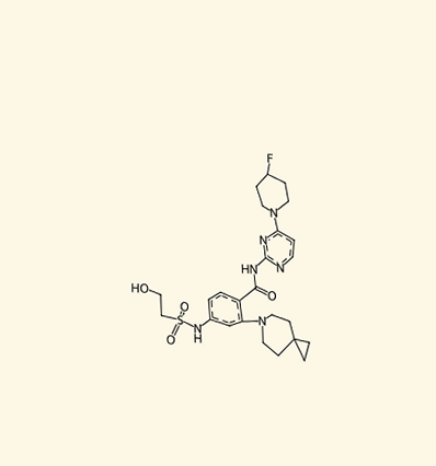 O=C(Nc1nccc(N2CCC(F)CC2)n1)c1ccc(NS(=O)(=O)CCO)cc1N1CCC2(CC1)CC2